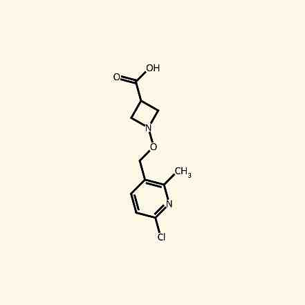 Cc1nc(Cl)ccc1CON1CC(C(=O)O)C1